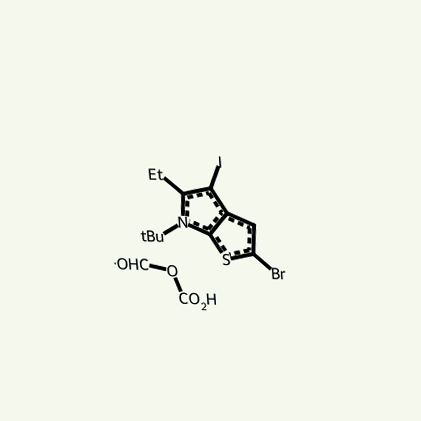 CCc1c(I)c2cc(Br)sc2n1C(C)(C)C.O=[C]OC(=O)O